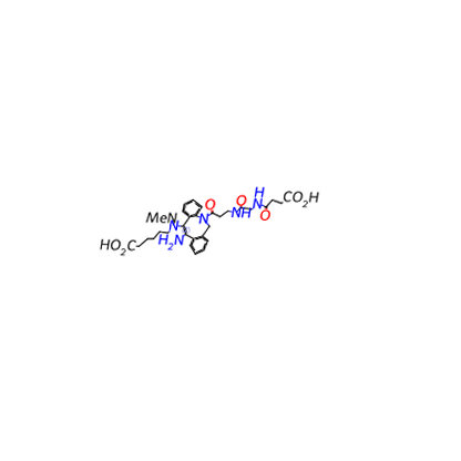 CNN(CCCCCC(=O)O)/C1=C(\N)c2ccccc2CN(C(=O)CCNC(=O)CNC(=O)CCC(=O)O)c2ccccc21